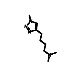 CN(C)CCCCc1cn(C)nn1